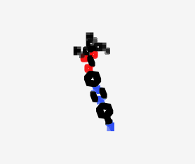 CC(C)(C)OC(=O)COc1ccc(N2CCN(c3ccc(C#N)cc3)CC2)cc1